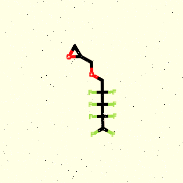 FC(F)C(F)(F)C(F)(F)C(F)(F)COCC1CO1